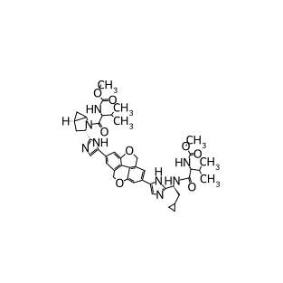 COC(=O)N[C@H](C(=O)N[C@@H](CC1CC1)c1ncc(-c2cc3c4c(c2)OCc2cc(-c5cnc([C@@H]6C[C@H]7CC7N6C(=O)[C@@H](NC(=O)OC)C(C)C)[nH]5)cc(c2-4)OC3)[nH]1)C(C)C